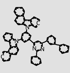 c1ccc(-c2cccc(-c3cc(-c4cc(-n5c6ccccc6c6c7ccccc7ccc65)cc(-n5c6ccccc6c6c7ccccc7ccc65)c4)nc(-c4ccccc4)n3)c2)cc1